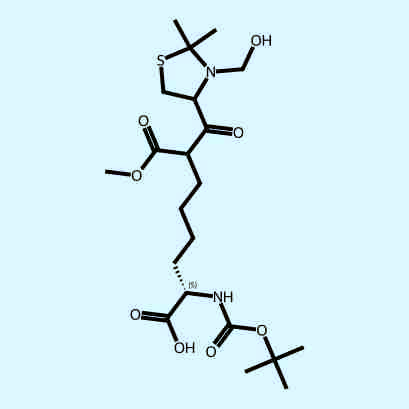 COC(=O)C(CCCC[C@H](NC(=O)OC(C)(C)C)C(=O)O)C(=O)C1CSC(C)(C)N1CO